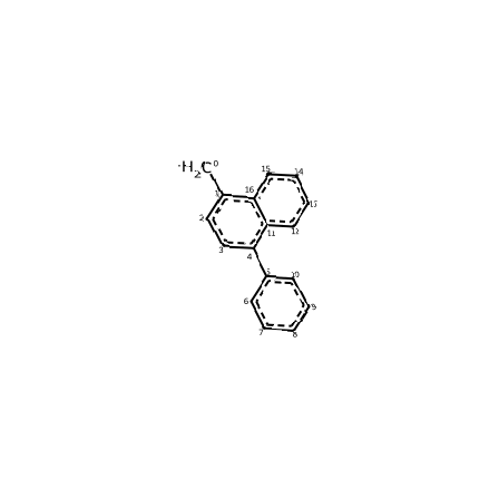 [CH2]c1ccc(-c2ccccc2)c2ccccc12